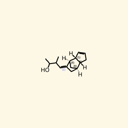 CC(O)C(C)/C=C1/C[C@H]2C[C@@H]1[C@@H]1C=CC[C@H]21